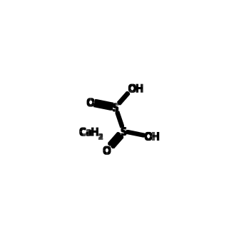 O=S(O)S(=O)O.[CaH2]